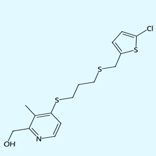 Cc1c(SCCCSCc2ccc(Cl)s2)ccnc1CO